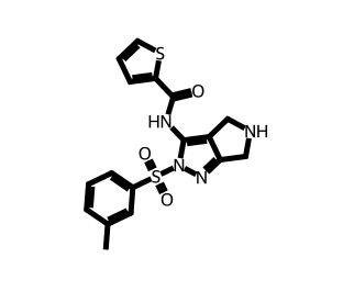 Cc1cccc(S(=O)(=O)n2nc3c(c2NC(=O)c2cccs2)CNC3)c1